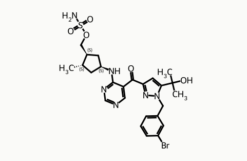 C[C@H]1C[C@H](Nc2ncncc2C(=O)c2cc(C(C)(C)O)n(Cc3cccc(Br)c3)n2)C[C@@H]1COS(N)(=O)=O